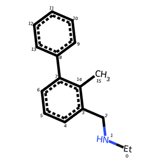 CCNCc1cccc(-c2ccccc2)c1C